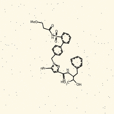 CCCc1cc(C(=O)NC(Cc2ccccc2)C(O)C(=O)O)nn1Cc1ccc(-c2ccccc2S(=O)(=O)NC(=O)CCOC)cc1